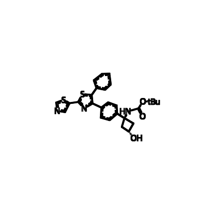 CC(C)(C)OC(=O)N[C@]1(c2ccc(-c3nc(-c4cncs4)sc3-c3ccccc3)cc2)C[C@@H](O)C1